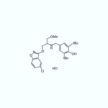 COCC(COc1noc2ccc(Cl)cc12)NCc1cc(C(C)(C)C)c(O)c(C(C)(C)C)c1.Cl